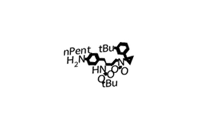 CCCCCc1cc(C[C@H](NC(=O)OC(C)(C)C)C2CN(C3(c4cccc(C(C)(C)C)c4)CC3)C(=O)O2)ccc1N